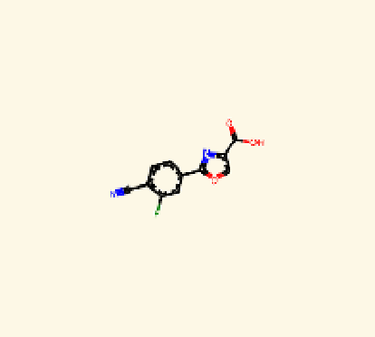 N#Cc1ccc(-c2nc(C(=O)O)co2)cc1F